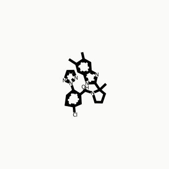 Cc1cc2nc(C3(C)CCCN3C(=O)c3cc(Cl)ccc3-n3nccn3)[nH]c2cc1C